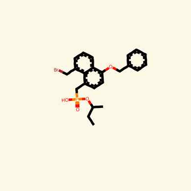 CCC(C)OP(=O)(O)Cc1ccc(OCc2ccccc2)c2cccc(CBr)c12